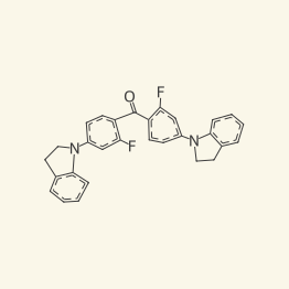 O=C(c1ccc(N2CCc3ccccc32)cc1F)c1ccc(N2CCc3ccccc32)cc1F